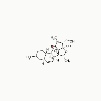 C[C@H]1CC[C@H]2[C@@H](C=C[C@@H]3[C@H]4[C@@H](C)O[C@]5(O)[C@@H](CO)N(C)C(=O)[C@]45C(=O)[C@@]32C)C1